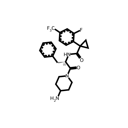 NC1CCN(C(=O)[C@H](Cc2ccccc2)NC(=O)C2(c3ccc(C(F)(F)F)cc3F)CC2)CC1